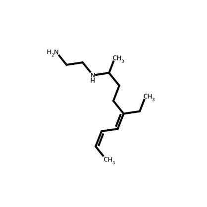 C/C=C\C=C(\CC)CCC(C)NCCN